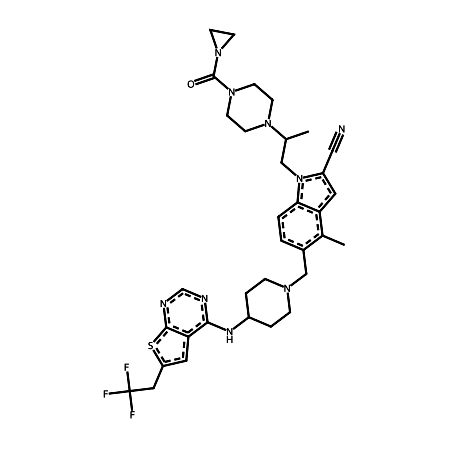 Cc1c(CN2CCC(Nc3ncnc4sc(CC(F)(F)F)cc34)CC2)ccc2c1cc(C#N)n2CC(C)N1CCN(C(=O)N2CC2)CC1